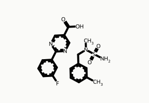 Cc1cccc(CN(C)S(N)(=O)=O)c1.O=C(O)c1cnc(-c2cccc(F)c2)nc1